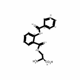 N[C@@H](COC(=S)c1ccccc1SC(=O)c1cccnc1)C(=O)O